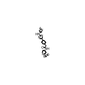 Cn1cc(Nc2ncc(-c3ccc(CC(=O)Nc4ccnc(S(C)(=O)=O)c4)cc3)cn2)cn1